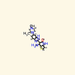 CC1CN(C)CCN1c1ccc2nc(-c3c(N)c4sccc4[nH]c3=O)[nH]c2c1